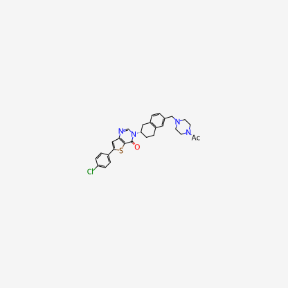 CC(=O)N1CCN(Cc2ccc3c(c2)CC[C@H](n2cnc4cc(-c5ccc(Cl)cc5)sc4c2=O)C3)CC1